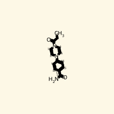 CCC(=O)N1C=CN(c2ccc(C(N)=O)cc2)C=C1